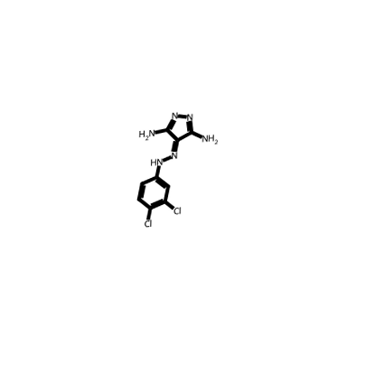 NC1=NN=C(N)C1=NNc1ccc(Cl)c(Cl)c1